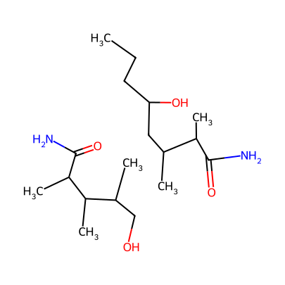 CC(CO)C(C)C(C)C(N)=O.CCCC(O)CC(C)C(C)C(N)=O